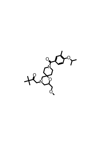 COCC1CN(CC(=O)C(C)(C)C)CC2(CCN(C(=O)c3ccc(OC(C)C)c(C)c3)CC2)O1